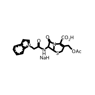 CC(=O)OCC1=C(C(=O)O)N2C(=O)C(NC(=O)Cn3ccc4ccccc43)C2SC1.[NaH]